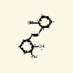 Oc1cccc(/C=N/c2ccccc2Cl)c1O